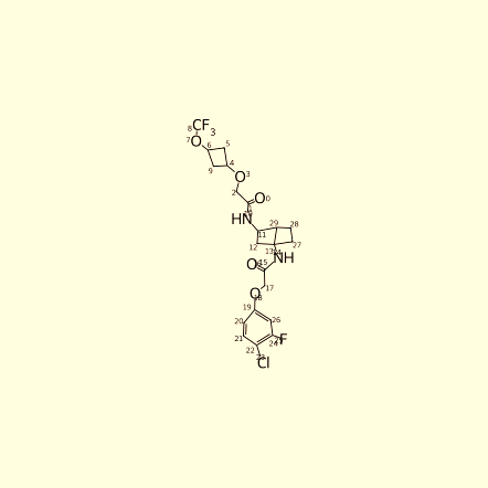 O=C(COC1CC(OC(F)(F)F)C1)NC1CC2(NC(=O)COc3ccc(Cl)c(F)c3)CCC12